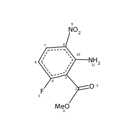 COC(=O)c1c(F)ccc([N+](=O)[O-])c1N